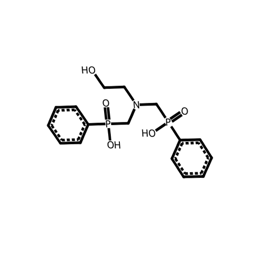 O=P(O)(CN(CCO)CP(=O)(O)c1ccccc1)c1ccccc1